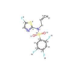 C=CCN(c1ncc(F)s1)S(=O)(=O)c1cc(F)c(F)cc1F